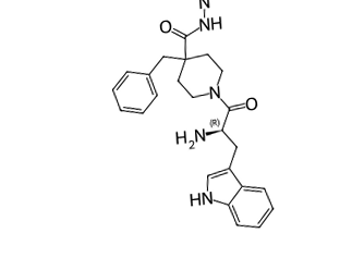 CN(C)NC(=O)C1(Cc2ccccc2)CCN(C(=O)[C@H](N)Cc2c[nH]c3ccccc23)CC1